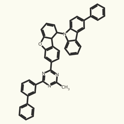 Cc1nc(-c2cccc(-c3ccccc3)c2)nc(-c2ccc3c(c2)OC2=CC=CC(n4c5ccccc5c5cc(-c6ccccc6)ccc54)C23)n1